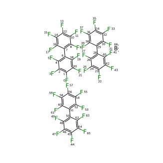 Fc1c(F)c(F)c(-c2c(F)c(F)c(F)c(F)c2F)c(F)c1F.Fc1c(F)c(F)c(-c2c(F)c(F)c(F)c(F)c2F)c(F)c1F.Fc1c(F)c(F)c(-c2c(F)c(F)c(F)c(F)c2F)c(F)c1F.[B]